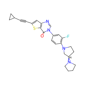 O=c1c2sc(C#CC3CC3)cc2ncn1-c1ccc(N2CC[C@@H](N3CCCC3)C2)c(F)c1